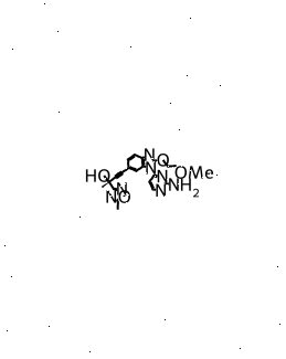 COCCOc1nc2ccc(C#C[C@@](C)(O)c3noc(C)n3)cc2n1-c1ccnc(N)n1